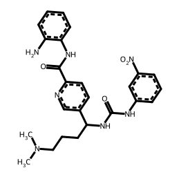 CN(C)CCCC(NC(=O)Nc1cccc([N+](=O)[O-])c1)c1ccc(C(=O)Nc2ccccc2N)nc1